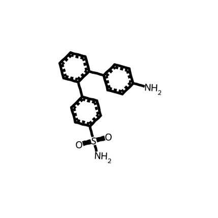 Nc1ccc(-c2ccccc2-c2ccc(S(N)(=O)=O)cc2)cc1